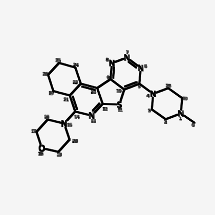 CN1CCN(c2nnnc3c2sc2nc(N4CCOCC4)c4c(c23)CCCC4)CC1